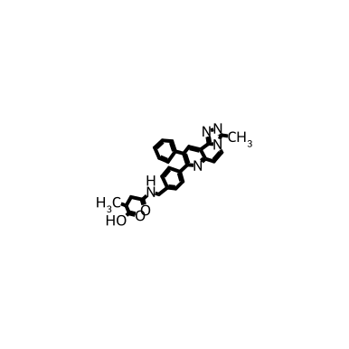 Cc1nnc2c3cc(-c4ccccc4)c(-c4ccc(CNC(=O)CC(C)C(=O)O)cc4)nc3ccn12